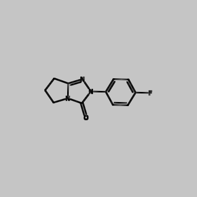 O=c1n(-c2ccc(F)cc2)nc2n1CCC2